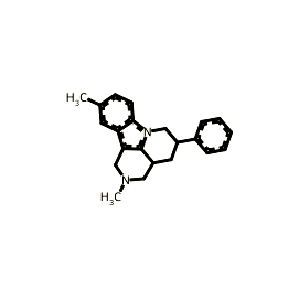 Cc1ccc2c(c1)c1c3n2CC(c2ccccc2)CC3CN(C)C1